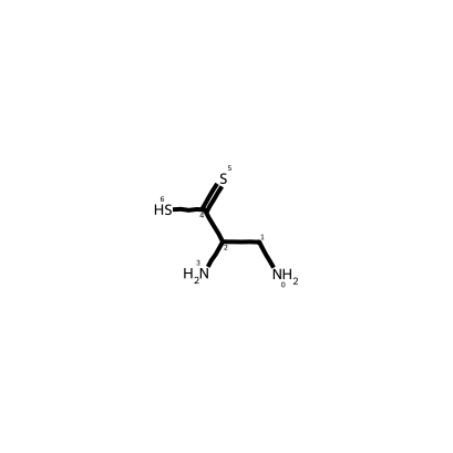 NCC(N)C(=S)S